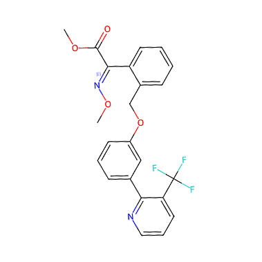 CO/N=C(/C(=O)OC)c1ccccc1COc1cccc(-c2ncccc2C(F)(F)F)c1